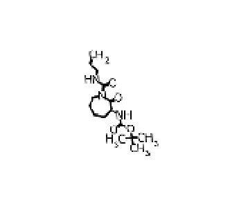 C=CCNC(=O)N1CCCC[C@H](NC(=O)OC(C)(C)C)C1=O